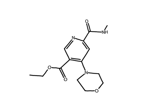 CCOC(=O)c1cnc(C(=O)NC)cc1N1CCOCC1